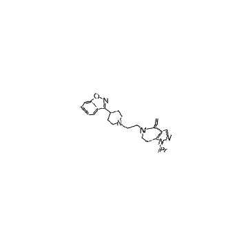 C=C1c2cnn(C(C)C)c2CCN1CCN1CCC(c2noc3ccccc23)CC1